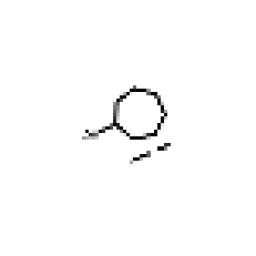 I[I-]I.[Sn][CH]1CCCCCC1